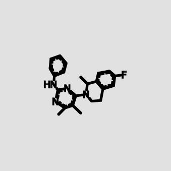 Cc1nc(Nc2ccccc2)nc(N2CCc3cc(F)ccc3C2C)c1C